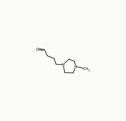 CN1CCN([CH]CCC=O)CC1